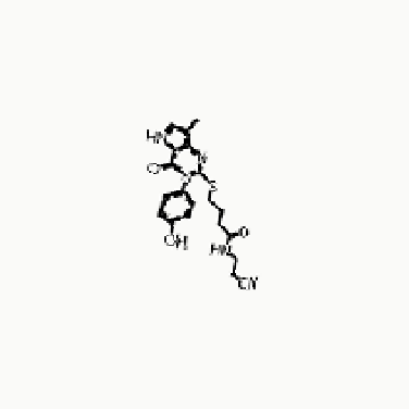 Cc1c[nH]c2c(=O)n(-c3ccc(O)cc3)c(SCCCC(=O)NCCC#N)nc12